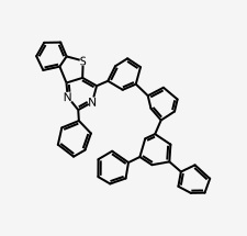 c1ccc(-c2cc(-c3ccccc3)cc(-c3cccc(-c4cccc(-c5nc(-c6ccccc6)nc6c5sc5ccccc56)c4)c3)c2)cc1